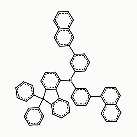 c1ccc(C2(c3ccccc3)c3ccccc3-c3c(N(c4cccc(-c5ccc6ccccc6c5)c4)c4cccc(-c5cccc6ccccc56)c4)cccc32)cc1